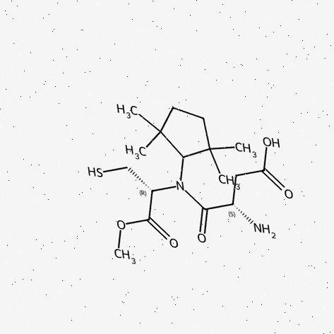 COC(=O)[C@H](CS)N(C(=O)[C@@H](N)CC(=O)O)C1C(C)(C)CCC1(C)C